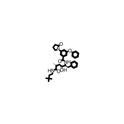 C[C@H](C[C@@H](O)[C@H](Cc1ccccc1)NC(=O)c1cc(Oc2ccccc2)cc(N2CCCC2=O)c1)C(=O)NCCC(C)(C)C